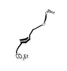 CCCCOC/C=C/C(=O)OCC